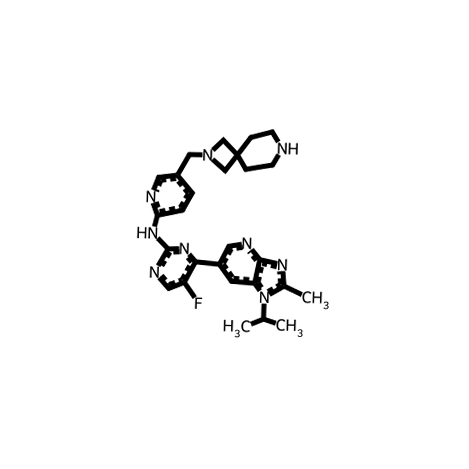 Cc1nc2ncc(-c3nc(Nc4ccc(CN5CC6(CCNCC6)C5)cn4)ncc3F)cc2n1C(C)C